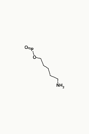 NCCCCCOP=O